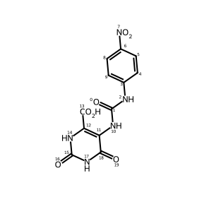 O=C(Nc1ccc([N+](=O)[O-])cc1)Nc1c(C(=O)O)[nH]c(=O)[nH]c1=O